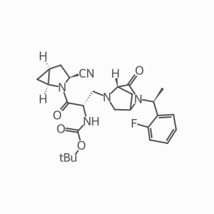 C[C@@H](c1ccccc1F)N1C(=O)[C@@H]2CC1CN2C[C@H](NC(=O)OC(C)(C)C)C(=O)N1[C@H](C#N)C[C@@H]2C[C@@H]21